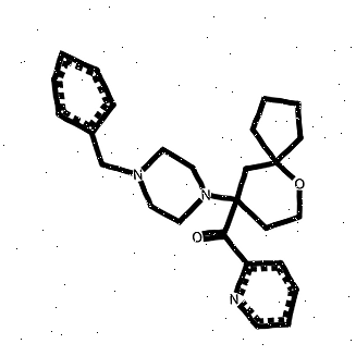 O=C(c1ccccn1)C1(N2CCN(Cc3ccccc3)CC2)CCOC2(CCCC2)C1